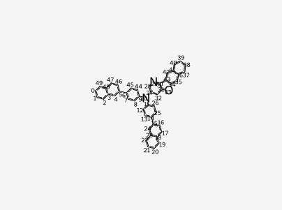 c1ccc2cc(-c3ccc(N(c4ccc(-c5ccc6ccccc6c5)cc4)c4cnc5c(c4)oc4cc6ccccc6cc45)cc3)ccc2c1